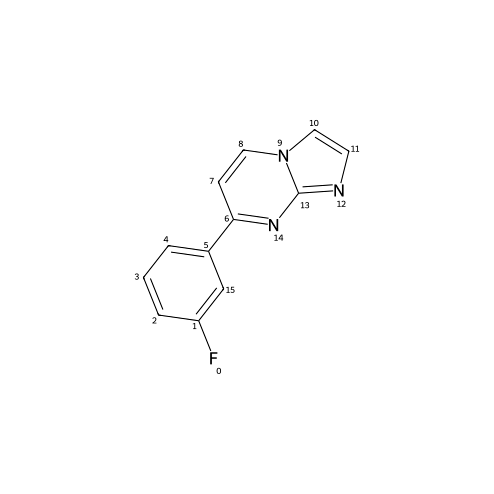 Fc1cccc(-c2ccn3ccnc3n2)c1